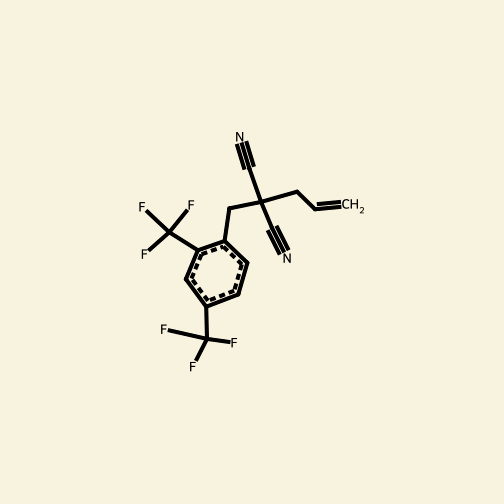 C=CCC(C#N)(C#N)Cc1ccc(C(F)(F)F)cc1C(F)(F)F